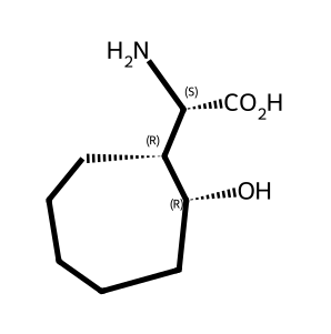 N[C@H](C(=O)O)[C@H]1CCCCC[C@H]1O